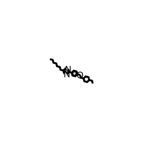 CCCCCCCc1cnc(-c2ccc(OCC3CCC(CC)CC3)cc2)nc1